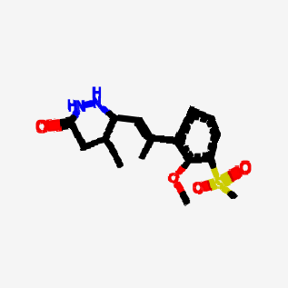 COc1c(/C(C)=C/C2NNC(=O)CC2C)cccc1S(C)(=O)=O